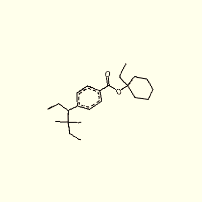 CCC(c1ccc(C(=O)OC2(CC)CCCCC2)cc1)C(C)(C)CC